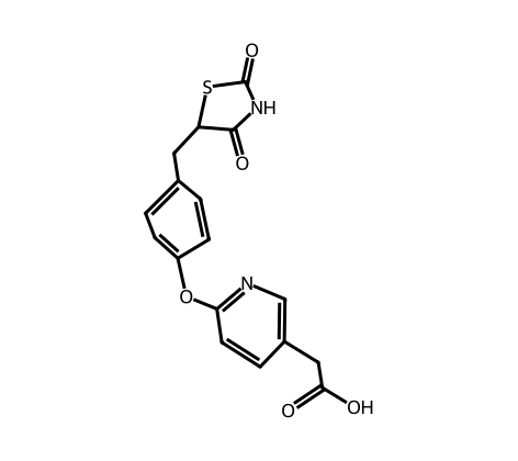 O=C(O)Cc1ccc(Oc2ccc(CC3SC(=O)NC3=O)cc2)nc1